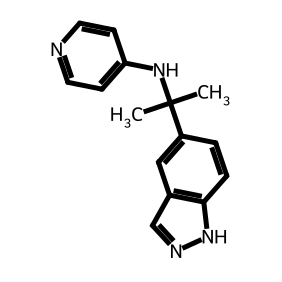 CC(C)(Nc1ccncc1)c1ccc2[nH]ncc2c1